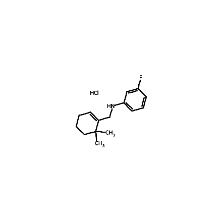 CC1(C)CCCC=C1CNc1cccc(F)c1.Cl